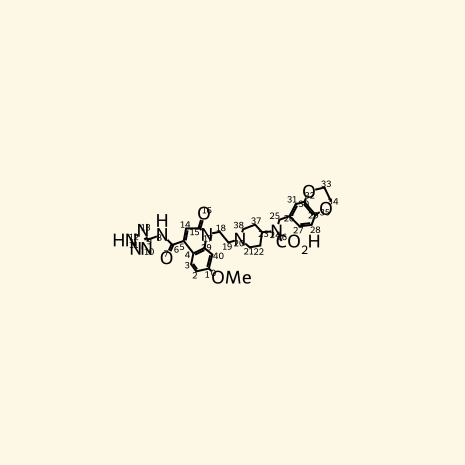 COc1ccc2c(C(=O)Nc3nn[nH]n3)cc(=O)n(CCN3CCC(N(Cc4ccc5c(c4)OCCO5)C(=O)O)CC3)c2c1